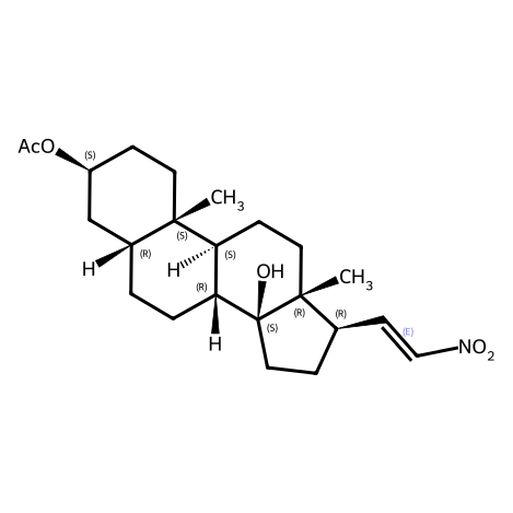 CC(=O)O[C@H]1CC[C@@]2(C)[C@H](CC[C@@H]3[C@@H]2CC[C@]2(C)[C@@H](/C=C/[N+](=O)[O-])CC[C@]32O)C1